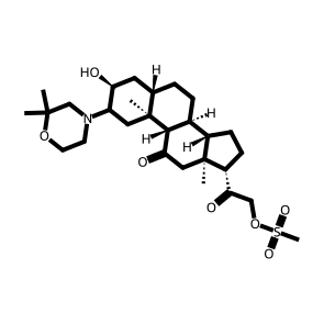 CC1(C)CN(C2C[C@@]3(C)[C@@H](CC[C@H]4[C@@H]5CC[C@H](C(=O)COS(C)(=O)=O)[C@@]5(C)CC(=O)[C@@H]43)C[C@@H]2O)CCO1